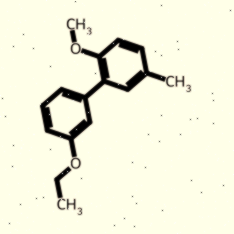 CCOc1cccc(-c2cc(C)ccc2OC)c1